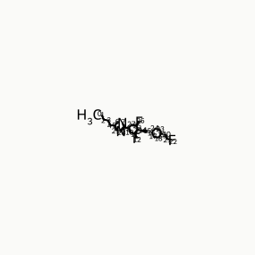 CCCCCc1cnc(-c2cc(F)c(C#C[C@H]3CC[C@H](C=CF)CC3)c(F)c2)nc1